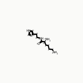 NCCCC[C@H](N)C(=O)NCCc1c[nH]cn1